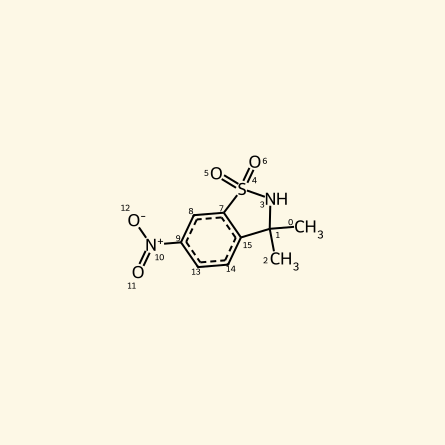 CC1(C)NS(=O)(=O)c2cc([N+](=O)[O-])ccc21